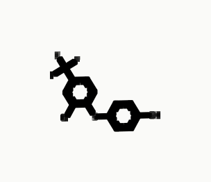 Oc1ccc(Sc2ccc(C(F)(F)F)cc2Cl)cc1